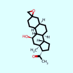 CC(=O)[C@H]1CC[C@H]2[C@@H]3CC[C@@H]4CC5(CC[C@@H]4[C@H]3[C@H](O)C[C@]12C)CO5